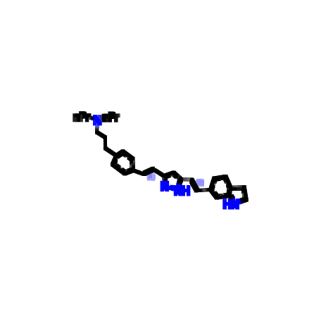 CCCN(CCC)CCCc1ccc(/C=C/c2cc(/C=C/c3ccc4cc[nH]c4c3)[nH]n2)cc1